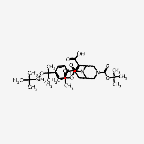 CC(C)(C)OC(=O)N1CC2CC(c3ccc(C(C)(C)O[SiH2]C(C)(C)C)cc3)=C(C(=O)O)C(C1)N2C(=O)OC(C)(C)C